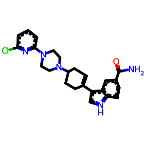 NC(=O)c1ccc2[nH]cc(C3=CCC(N4CCN(c5cccc(Cl)n5)CC4)CC3)c2c1